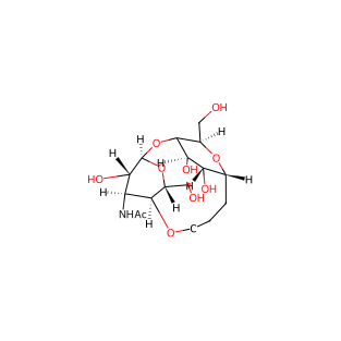 CC(=O)N[C@H]1[C@H](O)[C@H]2OC3[C@@H](CO)O[C@H](CCCO[C@@H]1[C@@H](CO)O2)[C@H](O)[C@H]3O